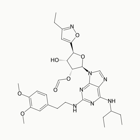 CCc1cc([C@H]2O[C@@H](n3cnc4c(NC(CC)CC)nc(NCCc5ccc(OC)c(OC)c5)nc43)[C@H](OC=O)[C@@H]2O)on1